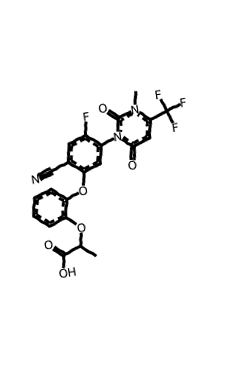 CC(Oc1ccccc1Oc1cc(-n2c(=O)cc(C(F)(F)F)n(C)c2=O)c(F)cc1C#N)C(=O)O